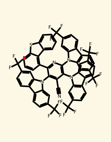 N#Cc1c(-n2c3cc(C(F)(F)F)ccc3c3ccc(C(F)(F)F)cc32)c(-c2cccc3sc4ccccc4c23)nc(-n2c3cc(C(F)(F)F)ccc3c3ccc(C(F)(F)F)cc32)c1-n1c2cc(C(F)(F)F)ccc2c2ccc(C(F)(F)F)cc21